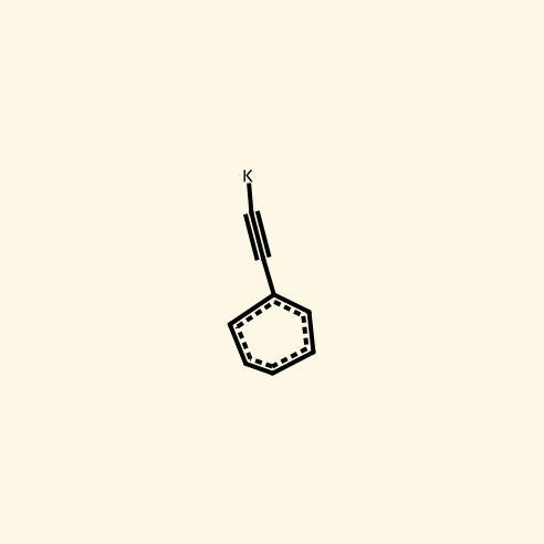 [K][C]#Cc1ccccc1